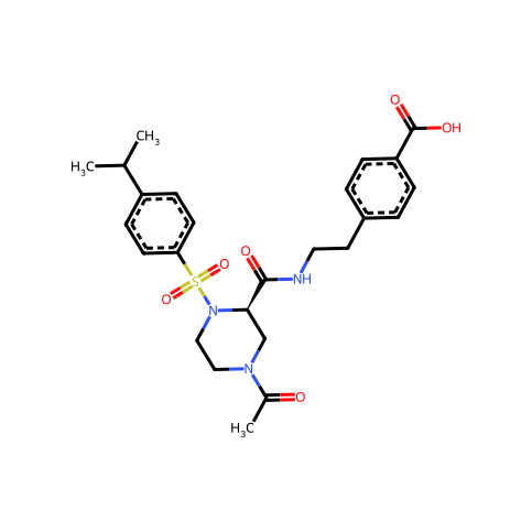 CC(=O)N1CCN(S(=O)(=O)c2ccc(C(C)C)cc2)[C@@H](C(=O)NCCc2ccc(C(=O)O)cc2)C1